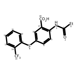 CCC(=O)Nc1ccc(Sc2ccccc2C(F)(F)F)cc1C(=O)O